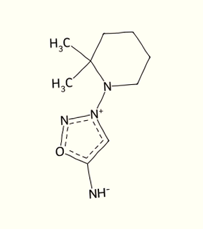 CC1(C)CCCCN1[n+]1cc([NH-])on1